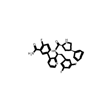 NC(=O)c1cc(-c2cccnc2[C@H](Cc2cc(F)cc(F)c2)NC(=O)[C@@H]2C[C@H](c3ccccc3)CN2)ccc1F